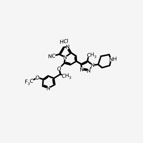 Cc1c(-c2cc(OC(C)c3cncc(OC(F)(F)F)c3)n3c(C#N)cnc3c2)nnn1C1CCNCC1.Cl